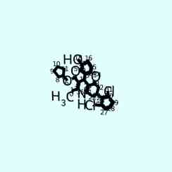 CCC1=C(C(=O)OC2CCCC2)C(c2cccc(O)c2)C2=C(CC(c3c(Cl)cccc3Cl)CC2=O)N1